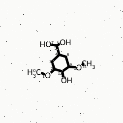 COC1CC(C(O)O)CC(OC)C1O